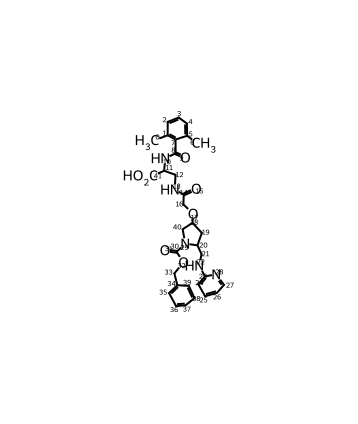 Cc1cccc(C)c1C(=O)NC(CNC(=O)COC1CC(CNc2ccccn2)N(C(=O)OCc2ccccc2)C1)C(=O)O